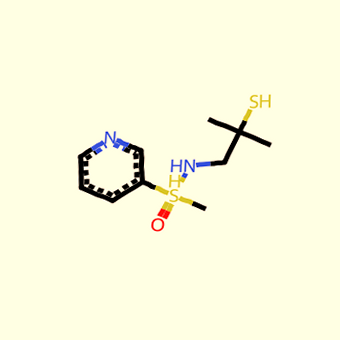 CC(C)(S)CN[SH](C)(=O)c1cccnc1